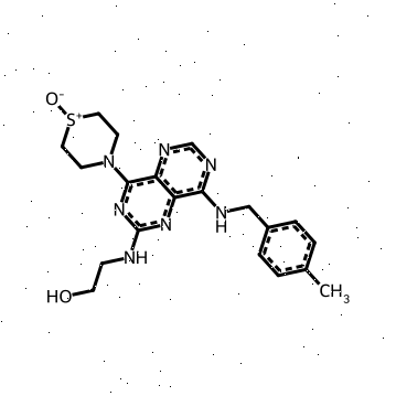 Cc1ccc(CNc2ncnc3c(N4CC[S+]([O-])CC4)nc(NCCO)nc23)cc1